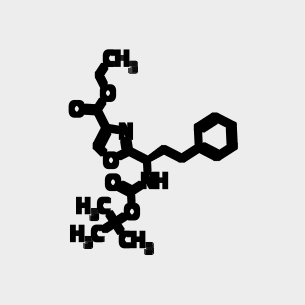 CCOC(=O)c1coc([C@@H](CCc2ccccc2)NC(=O)OC(C)(C)C)n1